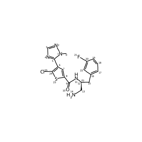 Cn1ncnc1-c1cc(C(=O)N[C@H](CN)Cc2cccc(F)c2)sc1Cl